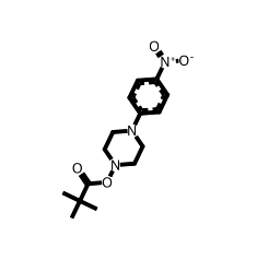 CC(C)(C)C(=O)ON1CCN(c2ccc([N+](=O)[O-])cc2)CC1